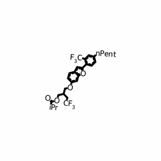 CCCCCc1ccc(-c2cc3ccc(OCC(COC(=O)C(C)C)CC(F)(F)F)cc3o2)c(C(F)(F)F)c1